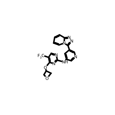 FC(F)(F)c1cnc(Nc2cncc(-c3nnc4ccccn34)c2)nc1OC1COC1